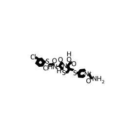 NC(=O)C[n+]1ccc(SCC2=C(C(=O)O)N3C(=O)[C@H](NC(=O)CSc4cc(Cl)ccc4Cl)[C@H]3SC2)cc1